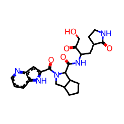 O=C1NCCC1CC(NC(=O)C1C2CCCC2CN1C(=O)c1cc2ncccc2[nH]1)C(=O)CO